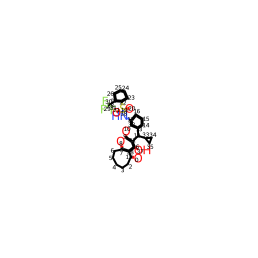 O=C1CCCCCc2oc(=O)c(C(c3cccc(NS(=O)(=O)c4ccccc4C(F)(F)F)c3)C3CC3)c(O)c21